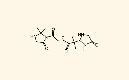 CC(C)(C(=O)NCC(=O)N1C(=O)CNC1(C)C)C1NCC(=O)N1